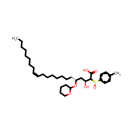 CCCCCCCC/C=C\CCCCCCC[C@H](C[C@H](O)C(C(=O)O)[S+]([O-])c1ccc(C)cc1)OC1CCCCO1